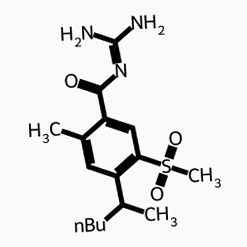 CCCCC(C)c1cc(C)c(C(=O)N=C(N)N)cc1S(C)(=O)=O